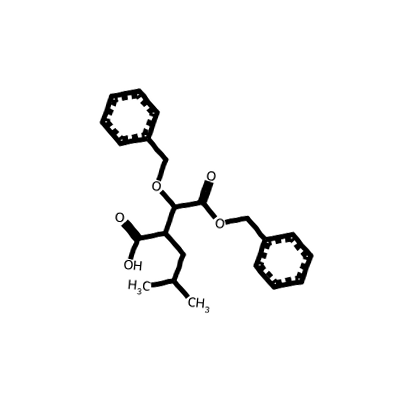 CC(C)CC(C(=O)O)C(OCc1ccccc1)C(=O)OCc1ccccc1